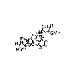 CSCCC(NC(=O)C(C)N(C(=O)CN(C(=O)C(N)CS)C(C)C)c1ccccc1)C(=O)O